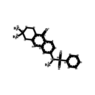 CN(c1ccc2c(=O)c3c(sc2c1)CC(C)(C)CC3)S(=O)(=O)c1ccccc1